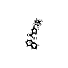 O=C(N[C@@H]1CCCc2ccccc21)C1C=C(OS(=O)(=O)C(F)(F)F)CC1